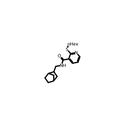 CCCCCCSc1ncccc1C(=O)NCC1CC2CCC1C2